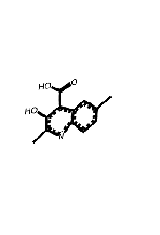 Cc1ccc2nc(C)c(O)c(C(=O)O)c2c1